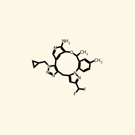 Cc1ccc2c(c1)C(C)Oc1cc(cnc1N)-c1c(nnn1CC1CC1)Cc1cc(C(F)F)nn1-2